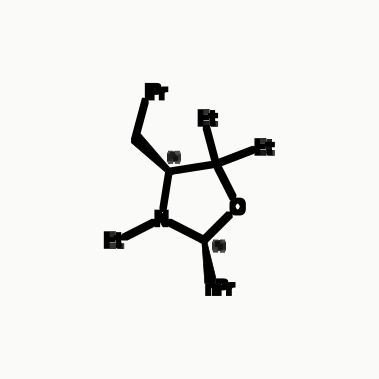 CCC[C@@H]1OC(CC)(CC)[C@H](CC(C)C)N1CC